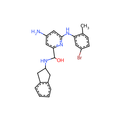 Cc1ccc(Br)cc1Nc1cc(N)cc(C(O)NC2Cc3ccccc3C2)n1